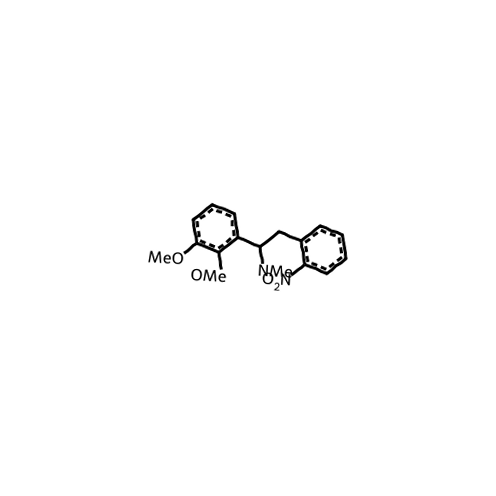 CNC(Cc1ccccc1[N+](=O)[O-])c1cccc(OC)c1OC